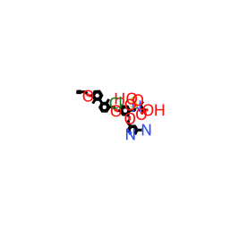 C#CCOc1cccc(-c2cccc(COc3cc(OCc4cncc(C#N)c4)c(CN([C@@H](C)C(=O)O)S(=O)(=O)O)cc3Cl)c2C)c1C